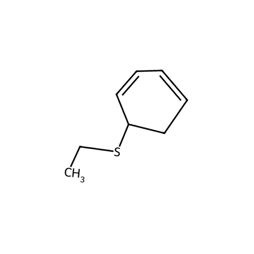 CCSC1C=CC=CC1